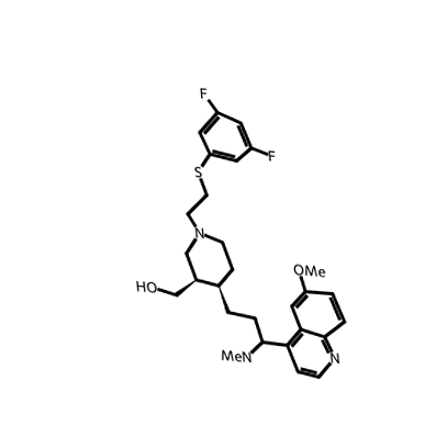 CNC(CC[C@@H]1CCN(CCSc2cc(F)cc(F)c2)C[C@@H]1CO)c1ccnc2ccc(OC)cc12